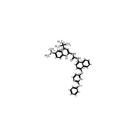 CP(C)c1ccc(N/C(=C\C(=N)C(C)(C)C)NC(=O)Nc2ccc(Oc3ccnc(Sc4ccccc4)n3)c3ccccc23)cc1